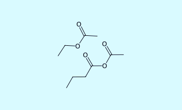 CCCC(=O)OC(C)=O.CCOC(C)=O